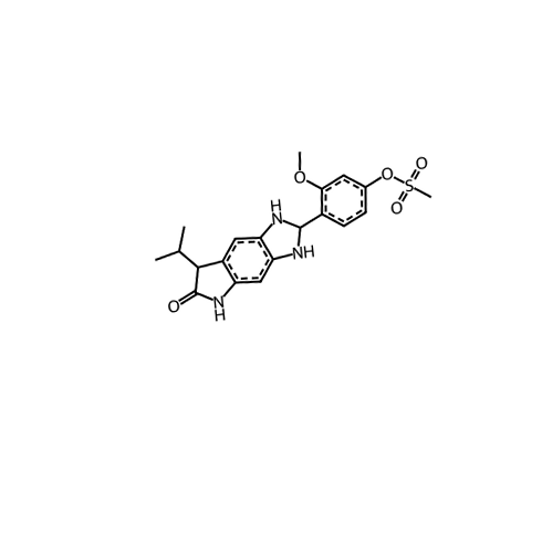 COc1cc(OS(C)(=O)=O)ccc1C1Nc2cc3c(cc2N1)C(C(C)C)C(=O)N3